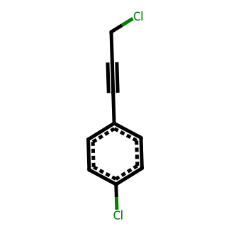 ClCC#Cc1ccc(Cl)cc1